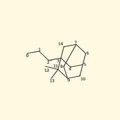 CC[CH]C12CC3CC(CC(C3)C1(C)C)C2